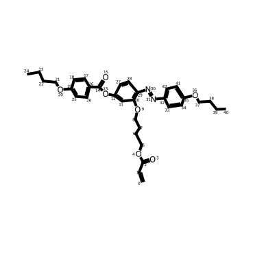 C=CC(=O)OCCCCOc1cc(OC(=O)c2ccc(OCCCC)cc2)ccc1/N=N/c1ccc(OCCCC)cc1